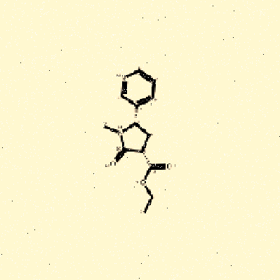 CCOC(=O)[C@H]1C[C@@H](c2cccnc2)N(C)C1=O